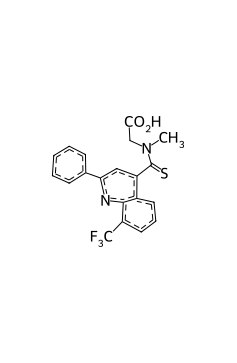 CN(CC(=O)O)C(=S)c1cc(-c2ccccc2)nc2c(C(F)(F)F)cccc12